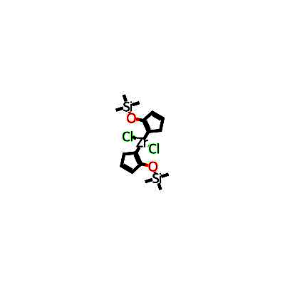 C[Si](C)(C)OC1=[C]([Zr]([Cl])([Cl])[C]2=C(O[Si](C)(C)C)C=CC2)CC=C1